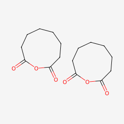 O=C1CCCCCCC(=O)O1.O=C1CCCCCCC(=O)O1